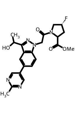 COC(=O)C1C[C@@H](F)CN1C(=O)Cn1nc(C(C)O)c2cc(-c3cnc(C)nc3)ccc21